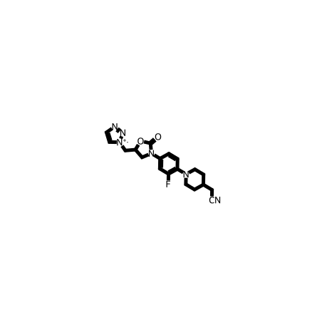 N#CCC1CCN(c2ccc(N3CC(C[N+]4C=CN=N4)OC3=O)cc2F)CC1